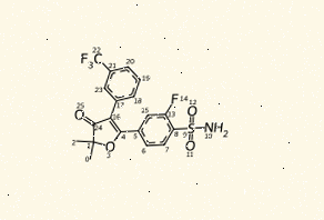 CC1(C)OC(c2ccc(S(N)(=O)=O)c(F)c2)=C(c2cccc(C(F)(F)F)c2)C1=O